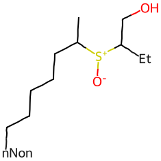 CCCCCCCCCCCCCCC(C)[S+]([O-])C(CC)CO